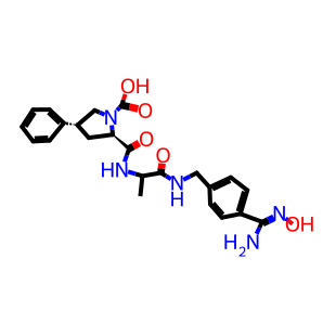 CC(NC(=O)[C@H]1C[C@H](c2ccccc2)CN1C(=O)O)C(=O)NCc1ccc(/C(N)=N/O)cc1